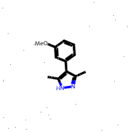 COc1cccc(-c2c(C)n[nH]c2C)c1